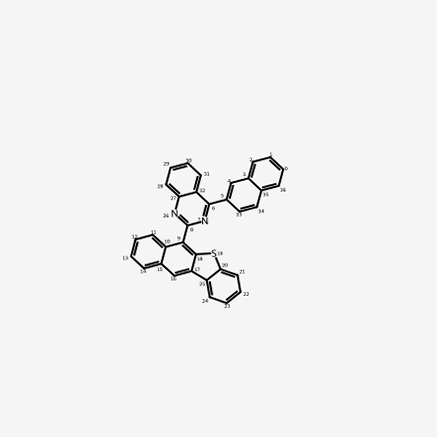 c1ccc2cc(-c3nc(-c4c5ccccc5cc5c4sc4ccccc45)nc4ccccc34)ccc2c1